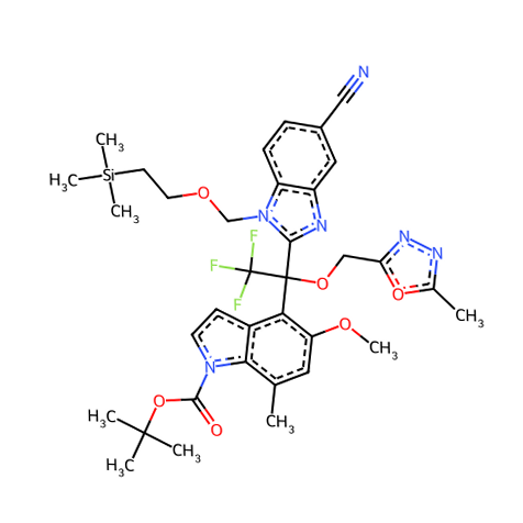 COc1cc(C)c2c(ccn2C(=O)OC(C)(C)C)c1C(OCc1nnc(C)o1)(c1nc2cc(C#N)ccc2n1COCC[Si](C)(C)C)C(F)(F)F